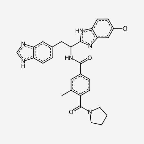 Cc1cc(C(=O)NC(Cc2ccc3[nH]cnc3c2)c2nc3cc(Cl)ccc3[nH]2)ccc1C(=O)N1CCCC1